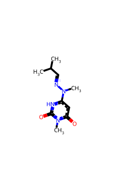 CC(C)/C=N/N(C)c1cc(=O)n(C)c(=O)[nH]1